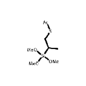 CO[Si](OC)(OC)C(C)CSC(C)=O